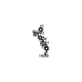 CN1Cc2cc(N/C(=C\[N+](=O)[O-])Nc3ccc(Cl)cc3)ccc2C1C(=O)NC(Cc1ccc(CCC(=O)O)cc1)C(=O)O